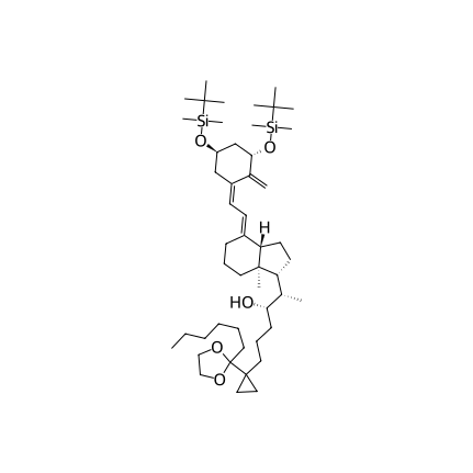 C=C1/C(=C\C=C2/CCC[C@]3(C)[C@@H]([C@H](C)[C@@H](O)CCCC4(C5(CCCCCC)OCCO5)CC4)CC[C@@H]23)C[C@@H](O[Si](C)(C)C(C)(C)C)C[C@@H]1O[Si](C)(C)C(C)(C)C